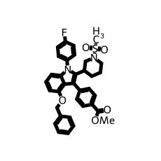 COC(=O)c1ccc(-c2c(C3CCCN(S(C)(=O)=O)C3)n(-c3ccc(F)cc3)c3cccc(OCc4ccccc4)c23)cc1